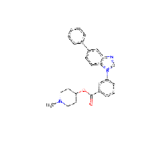 CN1CCC(OC(=O)c2cccc(-n3cnc4cc(-c5ccccc5)ccc43)c2)CC1